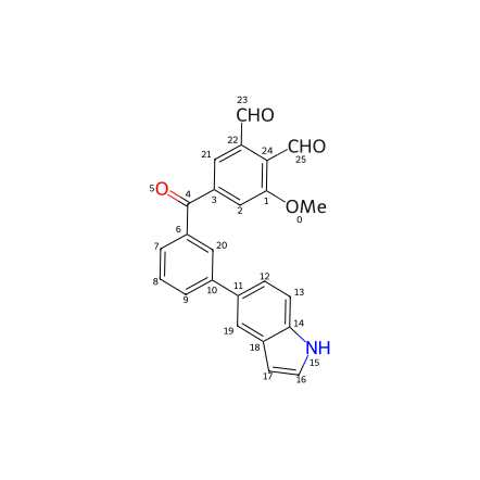 COc1cc(C(=O)c2cccc(-c3ccc4[nH]ccc4c3)c2)cc(C=O)c1C=O